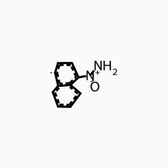 N[N+](=O)c1cc[c]c2ccccc12